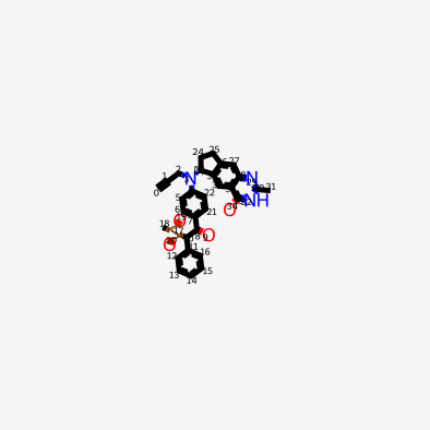 C#CCN(c1ccc(C(=O)C(c2ccccc2)S(C)(=O)=O)cc1)[C@H]1CCc2cc3nc(C)[nH]c(=O)c3cc21